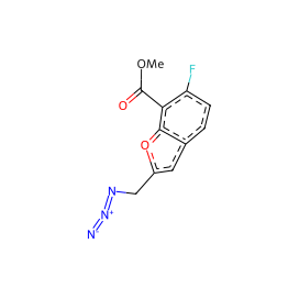 COC(=O)c1c(F)ccc2cc(CN=[N+]=[N-])oc12